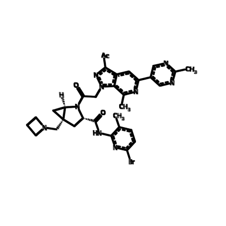 CC(=O)c1nn(CC(=O)N2[C@H](C(=O)Nc3nc(Br)ccc3C)C[C@@]3(CN4CCC4)C[C@@H]23)c2c(C)nc(-c3cnc(C)nc3)cc12